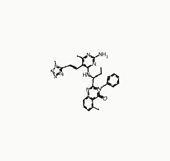 CCC(Nc1nc(N)nc(C)c1C=Cc1nnnn1C)c1nc2cccc(C)c2c(=O)n1-c1ccccc1